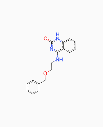 O=c1nc(NCCOCc2ccccc2)c2ccccc2[nH]1